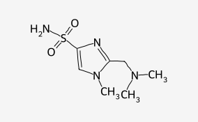 CN(C)Cc1nc(S(N)(=O)=O)cn1C